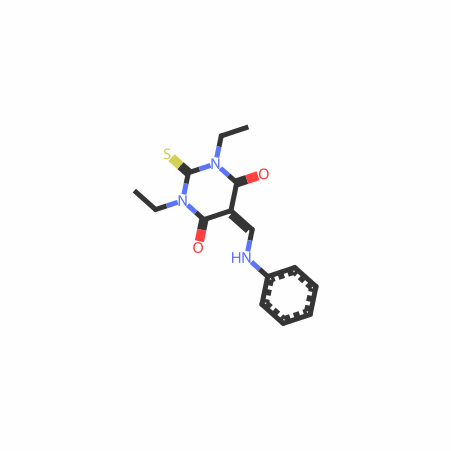 CCN1C(=O)C(=CNc2ccccc2)C(=O)N(CC)C1=S